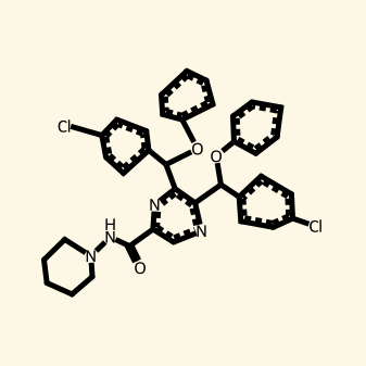 O=C(NN1CCCCC1)c1cnc(C(Oc2ccccc2)c2ccc(Cl)cc2)c(C(Oc2ccccc2)c2ccc(Cl)cc2)n1